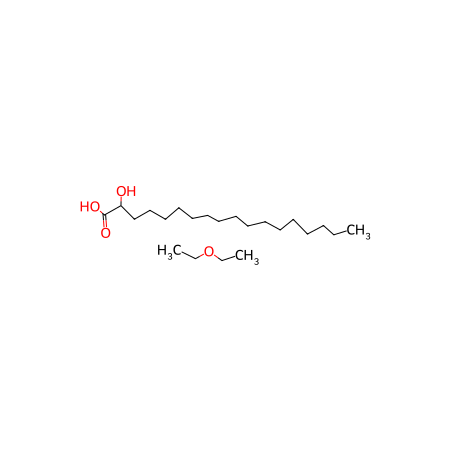 CCCCCCCCCCCCCCCCC(O)C(=O)O.CCOCC